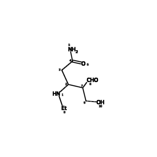 CCNC(CC(N)=O)C(C=O)CO